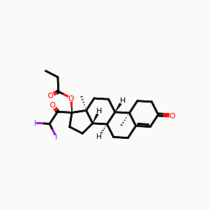 CCC(=O)O[C@]1(C(=O)C(I)I)CC[C@H]2[C@@H]3CCC4=CC(=O)CC[C@]4(C)[C@H]3CC[C@@]21C